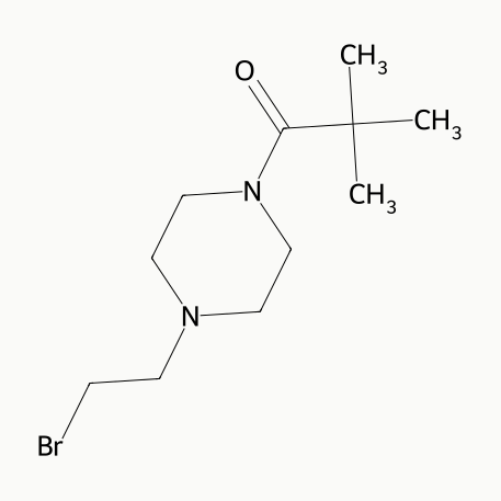 CC(C)(C)C(=O)N1CCN(CCBr)CC1